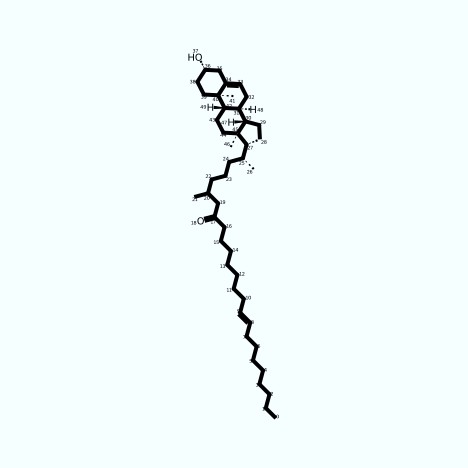 CCCCCCCCC=CCCCCCCCC(=O)CC(C)CCC[C@@H](C)[C@H]1CC[C@H]2[C@@H]3CC=C4C[C@@H](O)CC[C@]4(C)[C@H]3CC[C@]12C